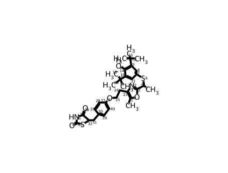 Cc1oc(C(C)Sc2cc(C(C)(C)C)c(O)c(C(C)(C)C)c2)nc1CCOc1ccc(CC2SC(=O)NC2=O)cc1